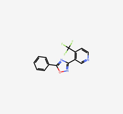 FC(F)(F)c1ccncc1-c1noc(-c2ccccc2)n1